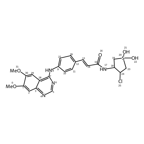 COc1cc2ncnc(Nc3ccc(C=CC(=O)NC4CS(O)(O)CC4Cl)cc3)c2cc1OC